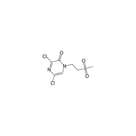 CS(=O)(=O)CCn1cc(Cl)nc(Cl)c1=O